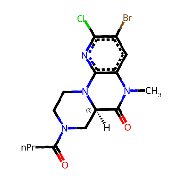 CCCC(=O)N1CCN2c3nc(Cl)c(Br)cc3N(C)C(=O)[C@H]2C1